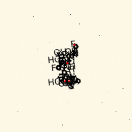 CCC1CC(C(=O)NCCNC(=O)C2CC(n3cc(-c4cccc(F)c4)nn3)C(O)[C@H](O[C@@H]3O[C@@H](CO)[C@H](O)C(n4cc(-c5cccc(F)c5)nn4)C3O)C2)C[C@@H](O[C@@H]2OC(CO)[C@H](O)C(O[C@@H](CC3CCCCC3)C(=O)N3CCC3)C2NC(C)=O)C1O[C@@H]1OC(C)[C@@H](O)C(O)C1O